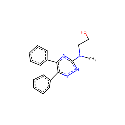 CN(CCO)c1nnc(-c2ccccc2)c(-c2ccccc2)n1